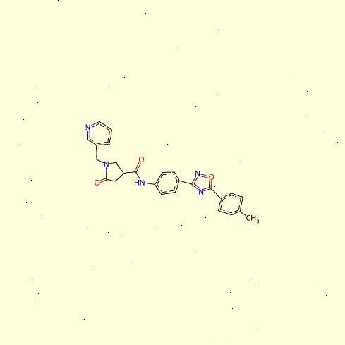 Cc1ccc(-c2nc(-c3ccc(NC(=O)C4CC(=O)N(Cc5cccnc5)C4)cc3)no2)cc1